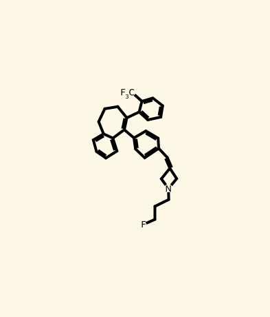 FCCCN1CC(=Cc2ccc(C3=C(c4ccccc4C(F)(F)F)CCCc4ccccc43)cc2)C1